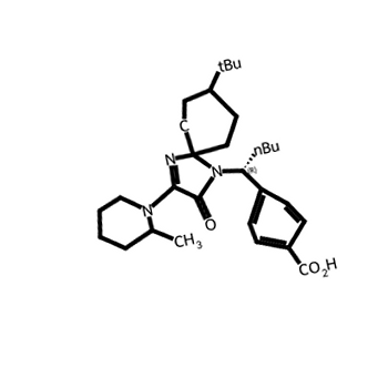 CCCC[C@H](c1ccc(C(=O)O)cc1)N1C(=O)C(N2CCCCC2C)=NC12CCC(C(C)(C)C)CC2